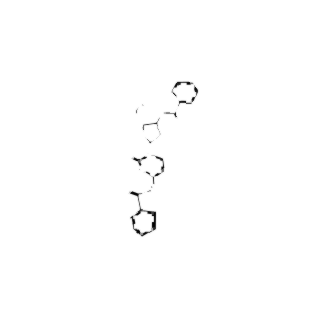 O=C(Nc1ccn([C@@H]2O[C@H](CO)C(OC(=O)c3ccccc3)[C@@H]2F)c(=O)n1)c1ccccc1